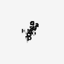 Nc1sc2c(ccc(=O)n2-c2ccccc2)c1C(=O)c1cccc(OC(F)F)c1